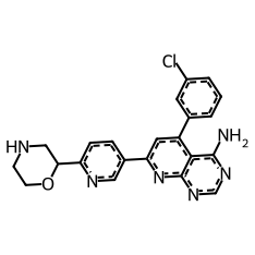 Nc1ncnc2nc(-c3ccc(C4CNCCO4)nc3)cc(-c3cccc(Cl)c3)c12